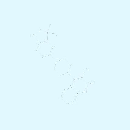 Cn1c(=O)c(C#N)c(N2CCC(c3ccc4c(c3)C(C)(C)CN4)CC2)c2ccccc21